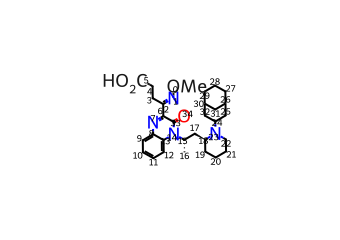 CO/N=C(\CCC(=O)O)c1nc2ccccc2n([C@@H](C)C[C@@H]2CCCCN2C2CC3CCCC(C3)C2)c1=O